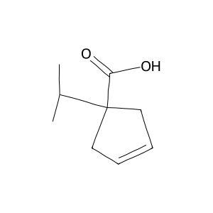 CC(C)C1(C(=O)O)CC=CC1